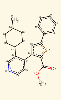 COC(=O)c1sc(-c2ccccc2)cc1-c1ccncc1C1CCC(C)CC1